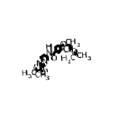 CC(C)OCCC(C)(C)Oc1ccc(C(=O)Nc2ccc3nc(C(=O)C(C)(C)C)cn3c2)cc1